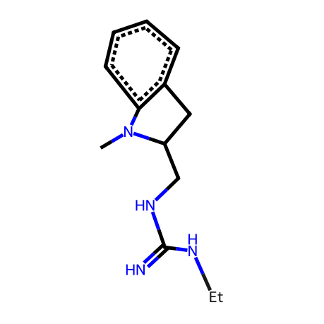 CCNC(=N)NCC1Cc2ccccc2N1C